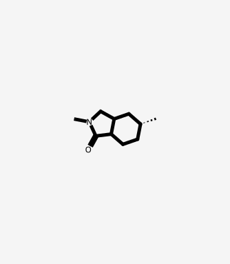 C[C@@H]1CCC2C(=O)N(C)CC2C1